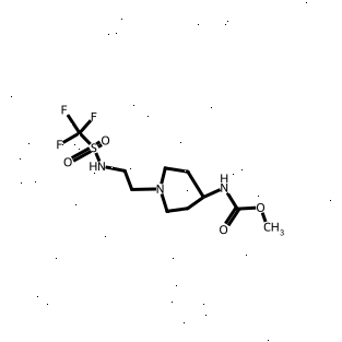 COC(=O)NC1CCN(CCNS(=O)(=O)C(F)(F)F)CC1